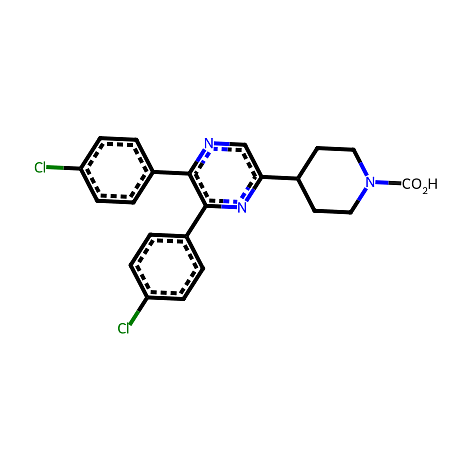 O=C(O)N1CCC(c2cnc(-c3ccc(Cl)cc3)c(-c3ccc(Cl)cc3)n2)CC1